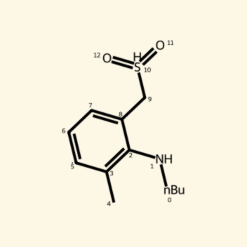 CCCCNc1c(C)[c]ccc1C[SH](=O)=O